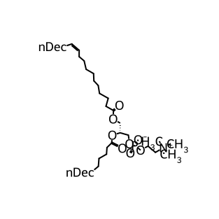 CCCCCCCCCC/C=C\CCCCCCCCCC(=O)OC[C@H](COP(=O)([O-])OCC[N+](C)(C)C)OC(=O)CCCCCCCCCCCCCC